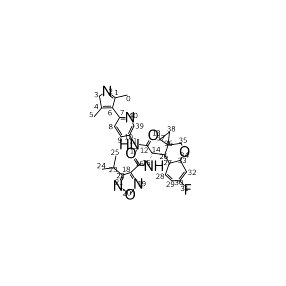 CC1=NCC(C)=C1c1ccc(NC(=O)[C@@H](NC(=O)c2nonc2C(C)C)C2C3C=CC(F)=CC3OCC23CC3)cn1